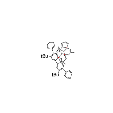 [CH2]=[Zr]([C]1=CC=CC1)([c]1ccc(C)cc1)([c]1ccc(C)cc1)[c]1c2c(cc(C(C)(C)C)c1-c1ccccc1)-c1cc(C(C)(C)C)c(-c3ccccc3)cc1C2